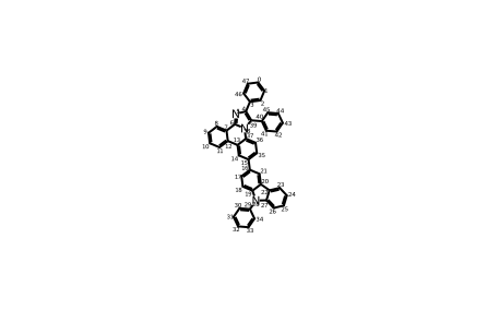 c1ccc(-c2nc3c4ccccc4c4cc(-c5ccc6c(c5)c5ccccc5n6-c5ccccc5)ccc4n3c2-c2ccccc2)cc1